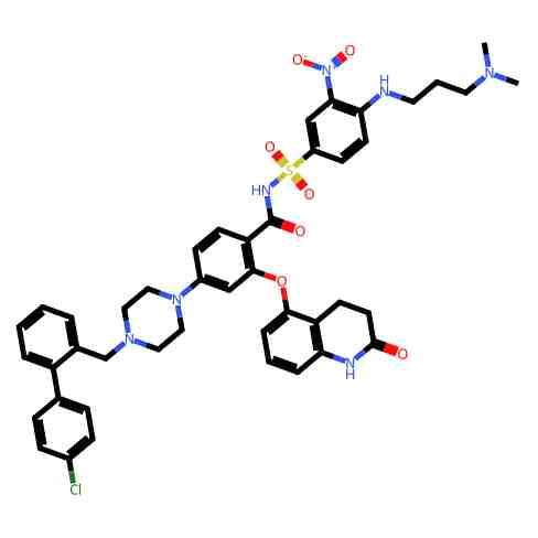 CN(C)CCCNc1ccc(S(=O)(=O)NC(=O)c2ccc(N3CCN(Cc4ccccc4-c4ccc(Cl)cc4)CC3)cc2Oc2cccc3c2CCC(=O)N3)cc1[N+](=O)[O-]